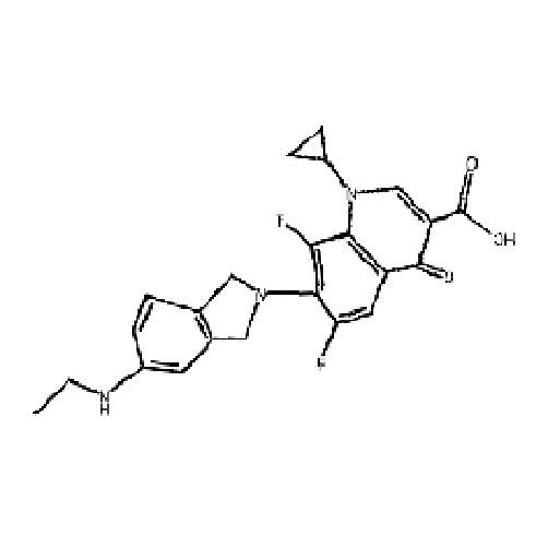 CCNc1ccc2c(c1)CN(c1c(F)cc3c(=O)c(C(=O)O)cn(C4CC4)c3c1F)C2